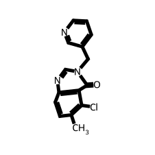 Cc1ccc2ncn(Cc3cccnc3)c(=O)c2c1Cl